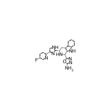 Nc1nnc(C2N[C@@H](c3nc(-c4ccc(F)cn4)c[nH]3)Cc3c2[nH]c2ccccc32)o1